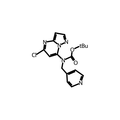 CC(C)(C)OC(=O)N(Cc1ccncc1)c1cc(Cl)nc2ccnn12